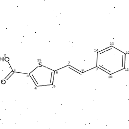 O=C(O)c1ccc(C=Cc2ccccc2)s1